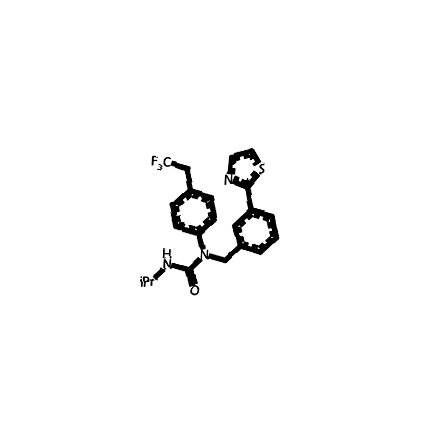 CC(C)NC(=O)N(Cc1cccc(-c2nccs2)c1)c1ccc(CC(F)(F)F)cc1